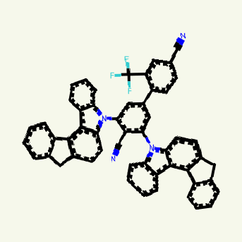 N#Cc1ccc(-c2cc(-n3c4ccccc4c4c5c(ccc43)Cc3ccccc3-5)c(C#N)c(-n3c4ccccc4c4c5c(ccc43)Cc3ccccc3-5)c2)c(C(F)(F)F)c1